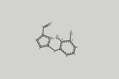 O=Cc1ccc(Cc2cccc(Cl)c2Cl)o1